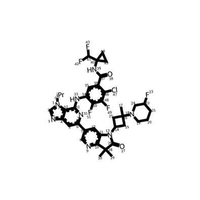 CC(C)n1cnc2cc(-c3cnc4c(c3)N(C3CC(C)(N5CCCC(F)C5)C3)C(=O)C4(C)C)nc(Nc3cc(C(=O)NC4(C(F)F)CC4)c(Cl)c(F)c3F)c21